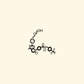 Cc1nc(N2CCN(CCOCCO)CC2)nc2c1ccc(=O)n2-c1ccc(C(=O)NCc2ccc(C(F)(F)F)cc2)cc1